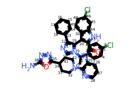 CC(c1ccc(Cl)cc1)n1cnc(-c2ccccc2)c1-c1c(C(=O)Nc2cccnc2N2CCC(c3nnc(N)o3)CC2)[nH]c2cc(Cl)ccc12